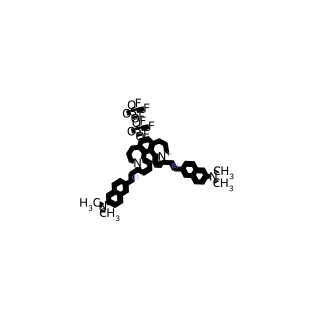 CN(C)c1ccc2cc(/C=C/c3cccc4[n+]3CCCc3ccc5c(c3-4)-c3cccc(/C=C/c4ccc6cc(N(C)C)ccc6c4)[n+]3CCC5)ccc2c1.O=S(=O)([O-])C(F)(F)F.O=S(=O)([O-])C(F)(F)F